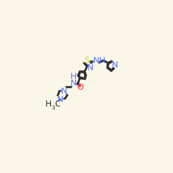 CN1CCN(CCNC(=O)c2ccc(-c3csc(NCCc4cccnc4)n3)cc2)CC1